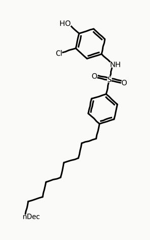 CCCCCCCCCCCCCCCCCCc1ccc(S(=O)(=O)Nc2ccc(O)c(Cl)c2)cc1